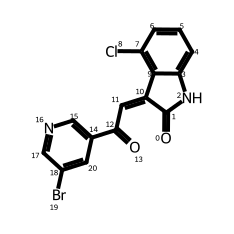 O=C1Nc2cccc(Cl)c2C1=CC(=O)c1cncc(Br)c1